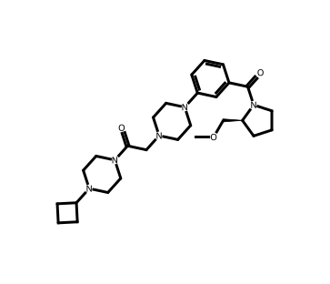 COC[C@@H]1CCCN1C(=O)c1cccc(N2CCN(CC(=O)N3CCN(C4CCC4)CC3)CC2)c1